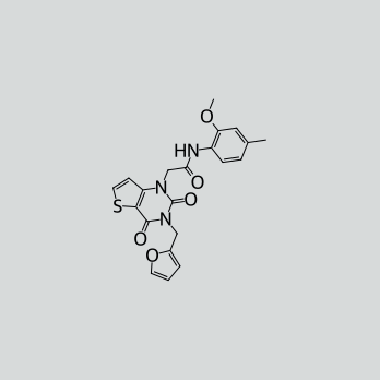 COc1cc(C)ccc1NC(=O)Cn1c(=O)n(Cc2ccco2)c(=O)c2sccc21